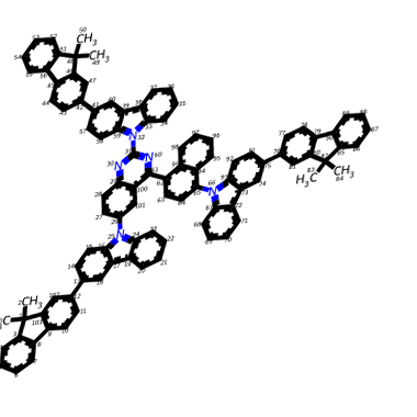 CC1(C)c2ccccc2-c2ccc(-c3ccc4c(c3)c3ccccc3n4-c3ccc4nc(-n5c6ccccc6c6cc(-c7ccc8c(c7)C(C)(C)c7ccccc7-8)ccc65)nc(-c5ccc(-n6c7ccccc7c7cc(-c8ccc9c(c8)C(C)(C)c8ccccc8-9)ccc76)c6ccccc56)c4c3)cc21